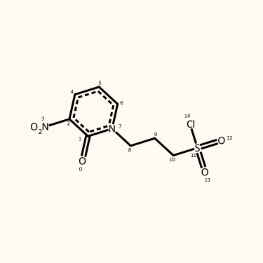 O=c1c([N+](=O)[O-])cccn1CCCS(=O)(=O)Cl